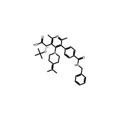 CC(C)=C1CCN(c2c(-c3ccc(C(=O)NCc4ccccc4)cc3)c(C)nc(C)c2[C@H](OC(C)(C)C)C(=O)O)CC1